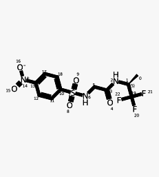 C[C@H](NC(=O)CNS(=O)(=O)c1ccc([N+](=O)[O-])cc1)C(F)(F)F